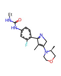 CCNC(=O)Nc1ccc(C2=NCC(N3CCOC[C@@H]3C)=C2C)c(F)c1